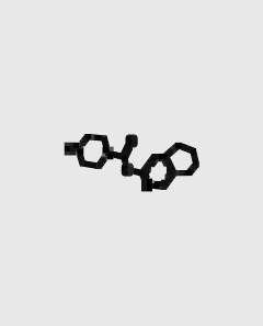 O=C(Oc1cc2c(cn1)CCCC2)N1CCNCC1